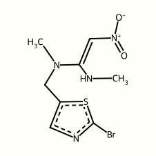 CNC(=C[N+](=O)[O-])N(C)Cc1cnc(Br)s1